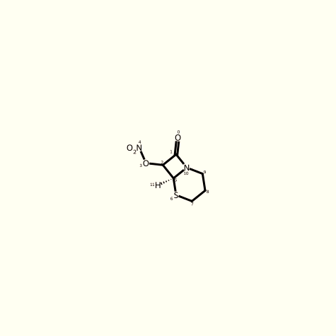 O=C1C(O[N+](=O)[O-])[C@@H]2SCCCN12